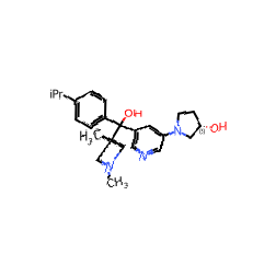 CC(C)c1ccc(C(O)(c2cncc(N3CC[C@H](O)C3)c2)C2(C)CN(C)C2)cc1